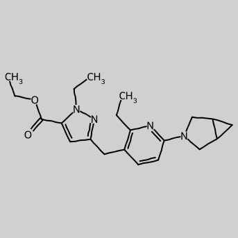 CCOC(=O)c1cc(Cc2ccc(N3CC4CC4C3)nc2CC)nn1CC